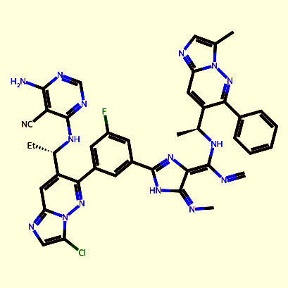 C=N/C(N[C@@H](C)c1cc2ncc(C)n2nc1-c1ccccc1)=C1/N=C(c2cc(F)cc(-c3nn4c(Cl)cnc4cc3[C@H](CC)Nc3ncnc(N)c3C#N)c2)N/C1=N/C